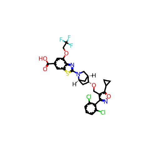 O=C(O)c1cc(OCC(F)(F)F)c2nc(N3C[C@@H]4C[C@H]3C[C@H]4OCc3c(-c4c(Cl)cccc4Cl)noc3C3CC3)sc2c1